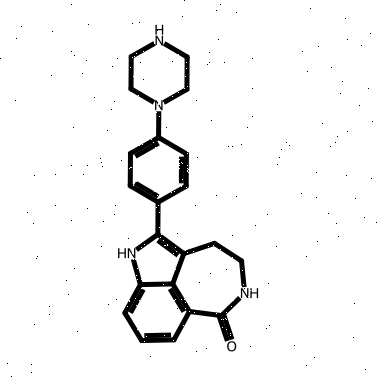 O=C1NCCc2c(-c3ccc(N4CCNCC4)cc3)[nH]c3cccc1c23